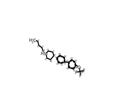 CCCCC[Si@H]1CC[C@H](c2ccc(-c3ccc(OC(F)(F)F)cc3)cc2)CC1